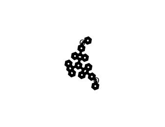 c1ccc(Oc2ccc(-c3c4ccccc4c(-c4cc(-c5c6ccccc6cc6ccccc56)cc(-c5c6ccccc6c(-c6ccc(Oc7ccccc7)cc6)c6ccccc56)c4)c4ccccc34)cc2)cc1